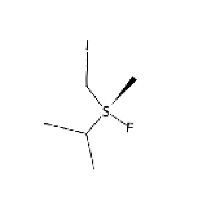 CC(C)[S@@](C)(F)CI